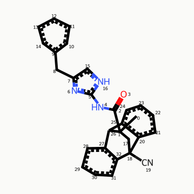 CC1(C(=O)Nc2nc(Cc3ccccc3)c[nH]2)CC2(C#N)c3ccccc3C1c1ccccc12